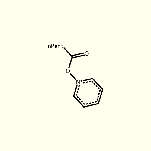 CCCCCC(=O)O[n+]1ccccc1